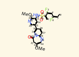 C=C(/C(F)=C\C(F)=C/C)S(=O)(=O)Nc1cc(C2=CN3C(=O)CC(OC)=CN=C3C=C2)cnc1OC